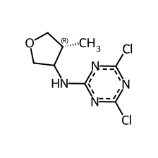 C[C@H]1COCC1Nc1nc(Cl)nc(Cl)n1